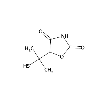 CC(C)(S)C1OC(=O)NC1=O